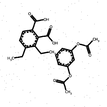 CC(=O)Oc1cccc(OC(C)=O)c1.CCc1ccc(C(=O)O)c(C(=O)O)c1CC